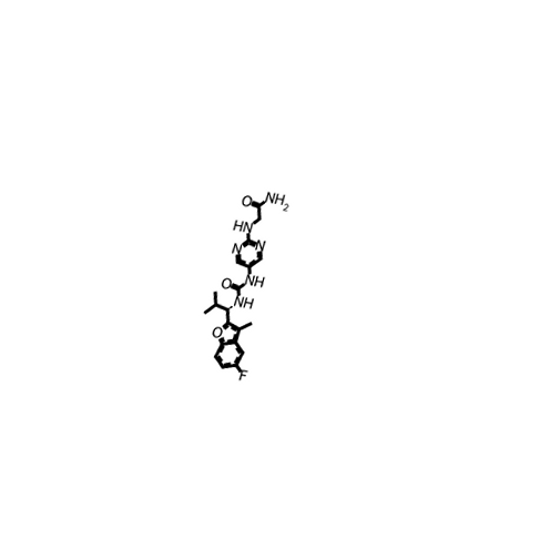 Cc1c([C@@H](NC(=O)Nc2cnc(NCC(N)=O)nc2)C(C)C)oc2ccc(F)cc12